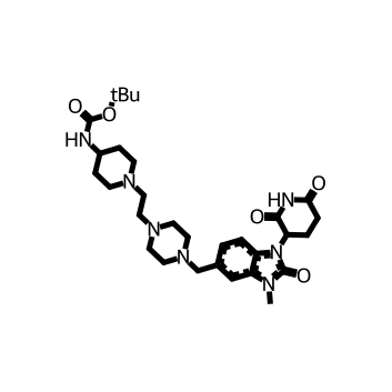 Cn1c(=O)n(C2CCC(=O)NC2=O)c2ccc(CN3CCN(CCN4CCC(NC(=O)OC(C)(C)C)CC4)CC3)cc21